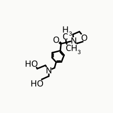 CC(C)(C(=O)c1ccc(CN(CCO)CCO)cc1)N1CCOCC1